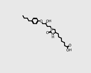 CCCCc1ccc(OCC(O)CCN2CC(CCCCCCC(=O)O)NC2=O)cc1